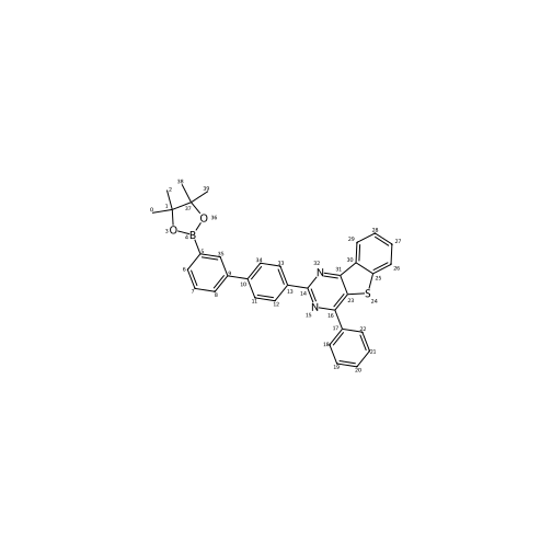 CC1(C)OB(c2cccc(-c3ccc(-c4nc(-c5ccccc5)c5sc6ccccc6c5n4)cc3)c2)OC1(C)C